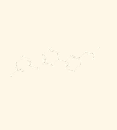 CC(=O)N(Cc1cccc(-c2ccnc(Nc3cccc([N+](=O)[O-])c3)n2)c1)C(C)C